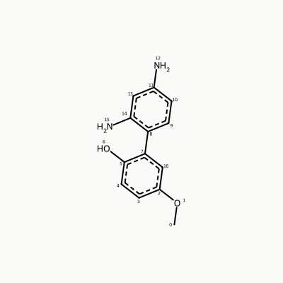 COc1ccc(O)c(-c2ccc(N)cc2N)c1